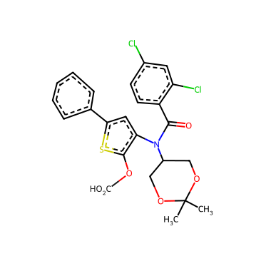 CC1(C)OCC(N(C(=O)c2ccc(Cl)cc2Cl)c2cc(-c3ccccc3)sc2OC(=O)O)CO1